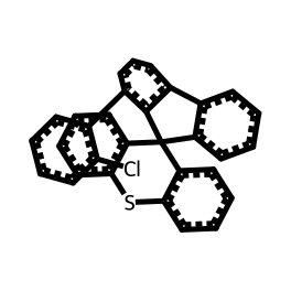 Clc1ccccc1-c1cccc2c1C1(c3ccccc3Sc3ccccc31)c1ccccc1-2